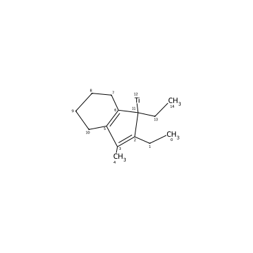 CCC1=C(C)C2=C(CCCC2)[C]1([Ti])CC